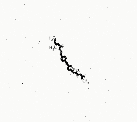 C=C/C=C(C)\C=C(\F)CCCc1ccc(C#Cc2ccc(C(F)(F)C/C(CC)=C(F)/C=C(/F)C=C)nc2)cc1